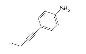 CCC#Cc1ccc(N)cc1